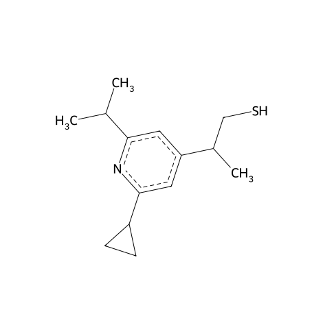 CC(C)c1cc(C(C)CS)cc(C2CC2)n1